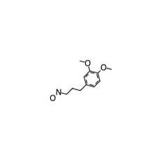 COc1ccc(CCCN=O)cc1OC